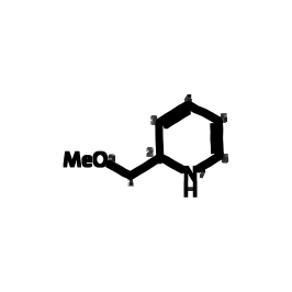 COC[C]1C=CC=CN1